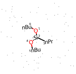 CCCCO[Si](CCC)OCCCC